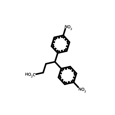 O=C(O)CCC(c1ccc([N+](=O)[O-])cc1)c1ccc([N+](=O)[O-])cc1